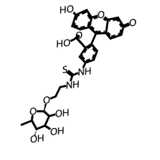 CC1O[C@@H](OCCNC(=S)Nc2ccc(-c3c4ccc(=O)cc-4oc4cc(O)ccc34)c(C(=O)O)c2)C(O)C(O)[C@@H]1O